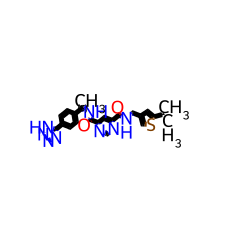 CC(C)c1cc(CNC(=O)c2cc(C(=O)N[C@@H](C)c3ccc(-c4nnn[nH]4)cc3)ncn2)cs1